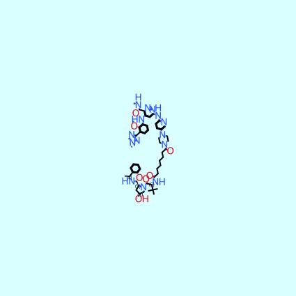 CNC(=O)c1nnc(Nc2ccc(N3CCN(C(=O)CCCCCCC(=O)N[C@H](C(=O)N4C[C@H](O)C[C@H]4C(=O)N[C@@H](C)c4ccccc4)C(C)(C)C)CC3)cn2)cc1Nc1cccc(-c2ncn(C)n2)c1OC